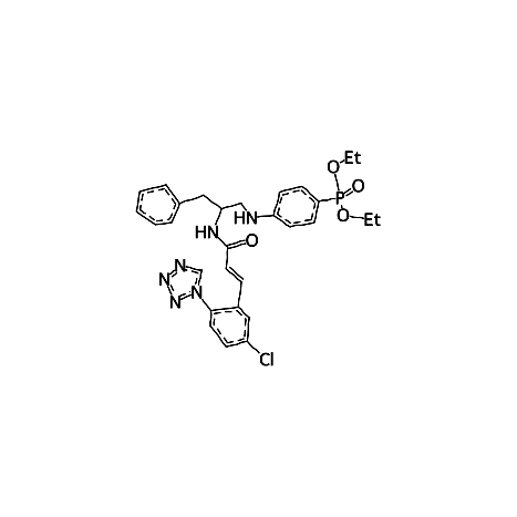 CCOP(=O)(OCC)c1ccc(NCC(Cc2ccccc2)NC(=O)C=Cc2cc(Cl)ccc2-n2cnnn2)cc1